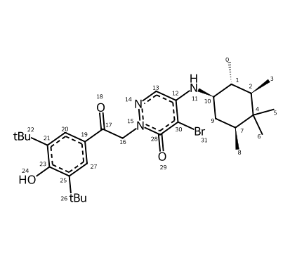 C[C@@H]1[C@@H](C)C(C)(C)[C@@H](C)C[C@H]1Nc1cnn(CC(=O)c2cc(C(C)(C)C)c(O)c(C(C)(C)C)c2)c(=O)c1Br